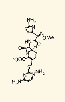 CO/N=C(\C(=O)NC1C(=O)N2C(C(=O)[O-])=C(CSc3nc(N)cc[n+]3N)CS[C@H]12)c1csc(N)n1